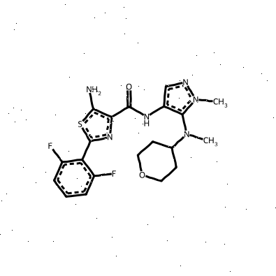 CN(c1c(NC(=O)c2nc(-c3c(F)cccc3F)sc2N)cnn1C)C1CCOCC1